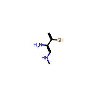 C=C(S)/C(N)=C/NC